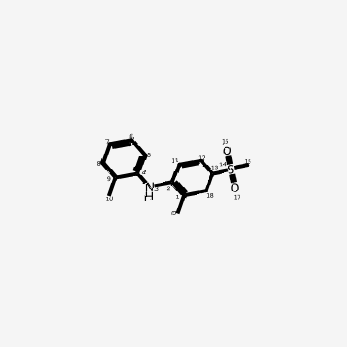 CC1=C(NC2=CC=CCC2C)C=CC(S(C)(=O)=O)C1